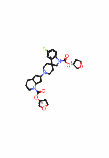 O=C(O[C@@H]1CCOC1)N1CC2(CCN(C3CC4CCCN(C(=O)O[C@H]5CCOC5)C4C3)CC2)c2cc(F)ccc21